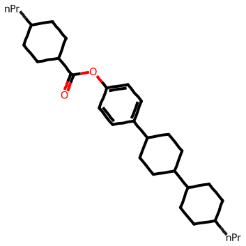 CCCC1CCC(C(=O)Oc2ccc(C3CCC(C4CCC(CCC)CC4)CC3)cc2)CC1